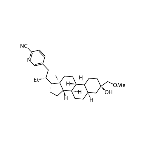 CC[C@H](Cc1ccc(C#N)nc1)[C@H]1CC[C@H]2[C@@H]3CC[C@@H]4C[C@@](O)(COC)CC[C@@H]4[C@H]3CC[C@]12C